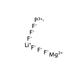 [F-].[F-].[F-].[F-].[F-].[F-].[Li+].[Mg+2].[P+3]